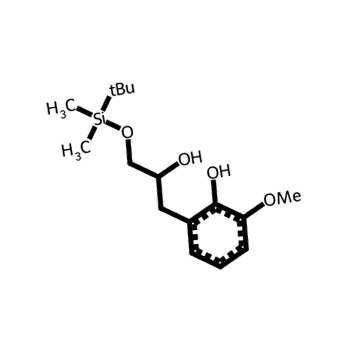 COc1cccc(CC(O)CO[Si](C)(C)C(C)(C)C)c1O